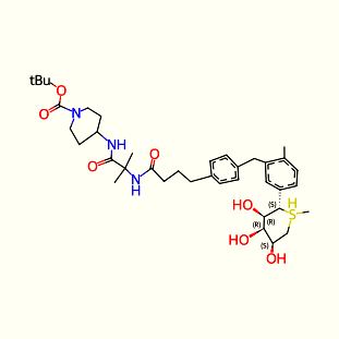 Cc1ccc([C@H]2[C@H](O)[C@H](O)[C@H](O)C[SH]2C)cc1Cc1ccc(CCCC(=O)NC(C)(C)C(=O)NC2CCN(C(=O)OC(C)(C)C)CC2)cc1